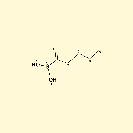 C=C(CCCC)B(O)O